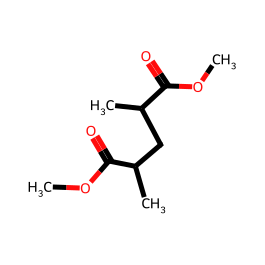 COC(=O)C(C)CC(C)C(=O)OC